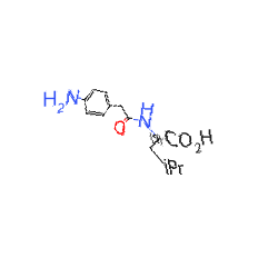 CC(C)C[C@H](NC(=O)Cc1ccc(N)cc1)C(=O)O